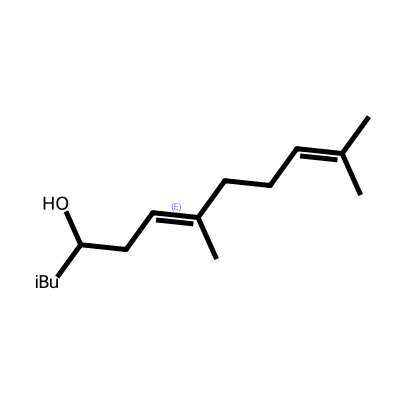 CCC(C)C(O)C/C=C(\C)CCC=C(C)C